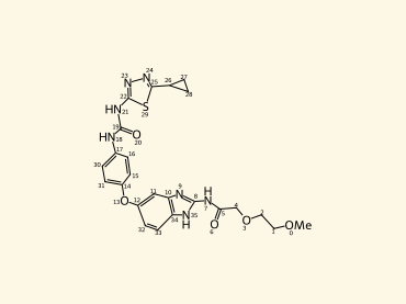 COCCOCC(=O)Nc1nc2cc(Oc3ccc(NC(=O)Nc4nnc(C5CC5)s4)cc3)ccc2[nH]1